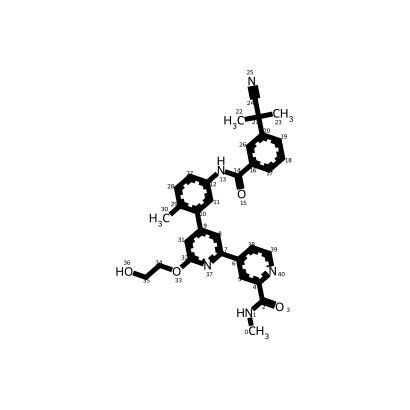 CNC(=O)c1cc(-c2cc(-c3cc(NC(=O)c4cccc(C(C)(C)C#N)c4)ccc3C)cc(OCCO)n2)ccn1